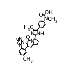 Cc1ccc(-n2cnnn2)c(-c2cc3n(c(=O)c2)[C@H](c2nc(C)c(-c4ccc(N(C)C(=O)O)cc4)[nH]2)CC3)c1